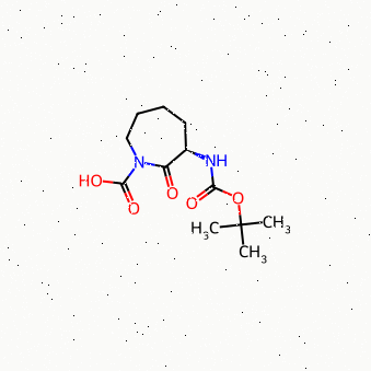 CC(C)(C)OC(=O)N[C@@H]1CCCCN(C(=O)O)C1=O